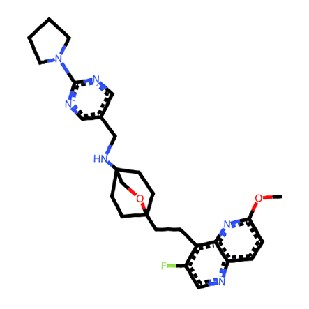 COc1ccc2ncc(F)c(CCC34CCC(NCc5cnc(N6CCCC6)nc5)(CC3)CO4)c2n1